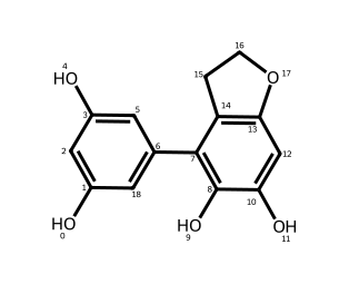 Oc1cc(O)cc(-c2c(O)c(O)cc3c2CCO3)c1